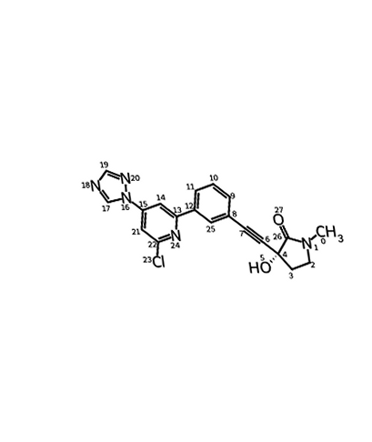 CN1CC[C@@](O)(C#Cc2cccc(-c3cc(-n4cncn4)cc(Cl)n3)c2)C1=O